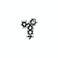 CC(C)(C)N1CCC2(CC1)CCC(Cc1ccccc1)(N1CCOCC1)CC2